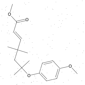 COC(=O)/C=C/C(C)(C)CC(C)(C)Oc1ccc(OC)cc1